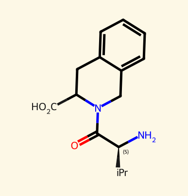 CC(C)[C@H](N)C(=O)N1Cc2ccccc2CC1C(=O)O